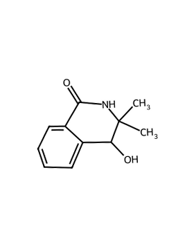 CC1(C)NC(=O)c2ccccc2C1O